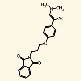 CC(=O)C(=CN(C)C)c1ccc(OCCCN2C(=O)c3ccccc3C2=O)cc1